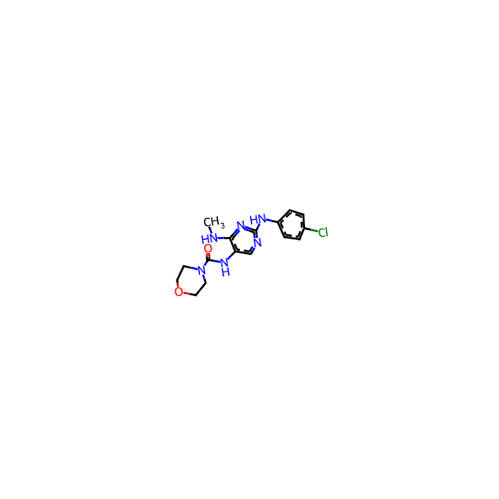 CNc1nc(Nc2ccc(Cl)cc2)ncc1NC(=O)N1CCOCC1